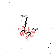 CCCCCCCCCCCCCCCCCC(=O)O[C@H]1[C@H](O)[C@@H](CO)O[C@@]1(CO)O[C@H]1O[C@H](CO)[C@@H](O)[C@H](O)[C@H]1O.[MgH2]